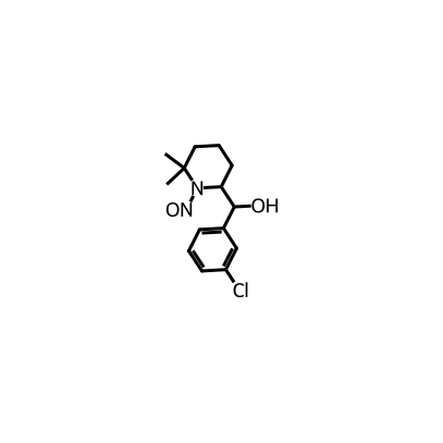 CC1(C)CCCC(C(O)c2cccc(Cl)c2)N1N=O